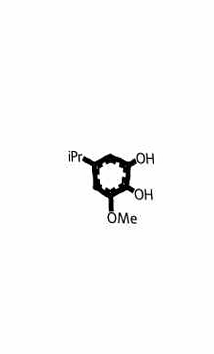 COc1cc(C(C)C)cc(O)c1O